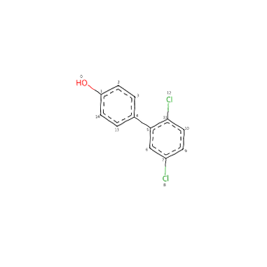 Oc1ccc(-c2cc(Cl)ccc2Cl)cc1